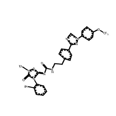 CCn1sc(=NC(=O)NCCc2ccc(-c3ncn(-c4ccc(OC(F)(F)F)cc4)n3)cc2)n(-c2ccccc2C(C)C)c1=O